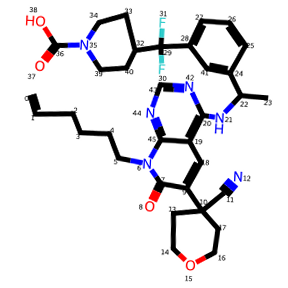 C=CCCCCn1c(=O)c(C2(C#N)CCOCC2)cc2c(NC(C)c3cccc(C(F)(F)C4CCN(C(=O)O)CC4)c3)ncnc21